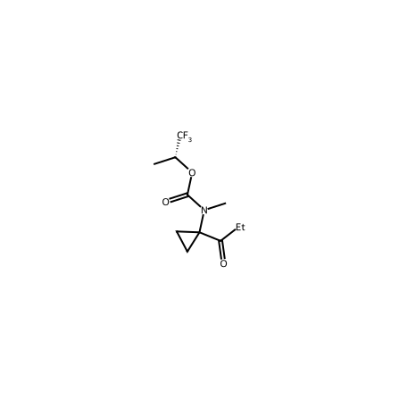 CCC(=O)C1(N(C)C(=O)O[C@H](C)C(F)(F)F)CC1